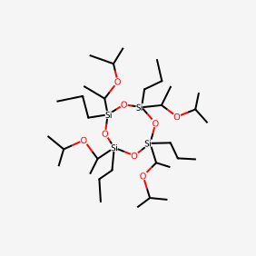 CCC[Si]1(C(C)OC(C)C)O[Si](CCC)(C(C)OC(C)C)O[Si](CCC)(C(C)OC(C)C)O[Si](CCC)(C(C)OC(C)C)O1